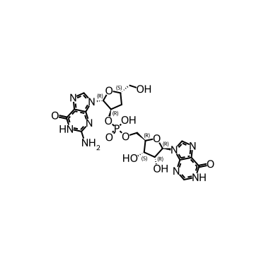 Nc1nc2c(ncn2[C@@H]2O[C@H](CO)C[C@H]2OP(=O)(O)OC[C@H]2O[C@@H](n3cnc4c(=O)[nH]cnc43)[C@H](O)[C@@H]2O)c(=O)[nH]1